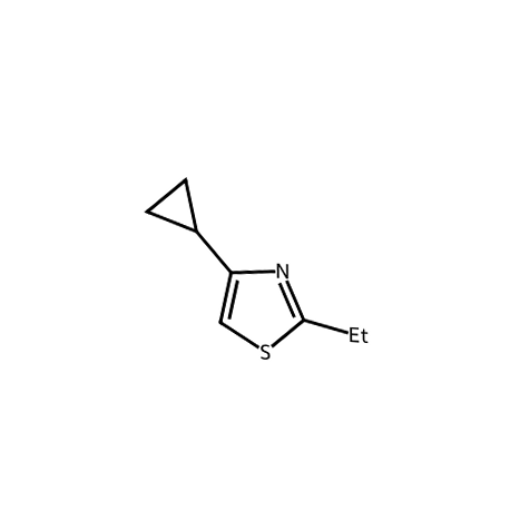 CCc1nc(C2CC2)cs1